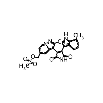 Cc1nn2ccc(COS(C)(=O)=O)cc2c1C1=C(c2c[nH]c3c(C)cccc23)C(=O)NC1=O